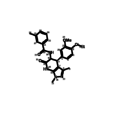 CCOc1ccc([C@H]2c3c(C)nn(C)c3NC(=O)[C@H]2NC(=O)c2cccc(C)c2)cc1OC